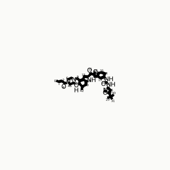 C/C=C/C(=O)N1CCN(CC2=c3cc(C(=O)c4cc5cc(NC(=O)Nc6cc(C(C)(C)C)on6)ccc5o4)[nH]c3=CC(C)C2O)CC1